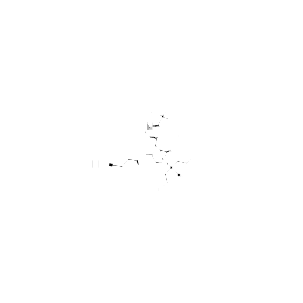 C#CCCC(=O)OC1CN(C(C#C)(CCC)CCC)C(=O)N1c1nnc(C(C)(C)C)s1